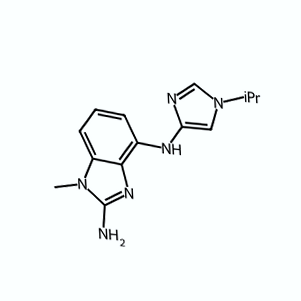 CC(C)n1cnc(Nc2cccc3c2nc(N)n3C)c1